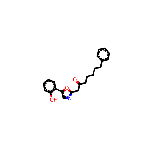 O=C(CCCCCc1ccccc1)Cc1ncc(-c2ccccc2O)o1